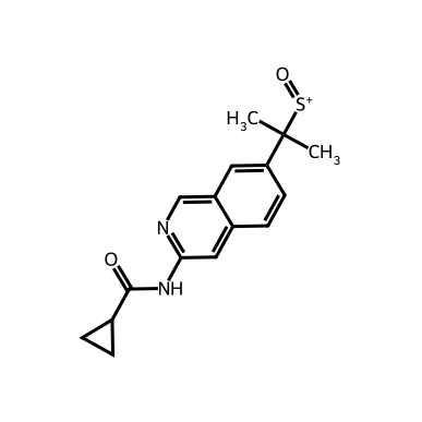 CC(C)([S+]=O)c1ccc2cc(NC(=O)C3CC3)ncc2c1